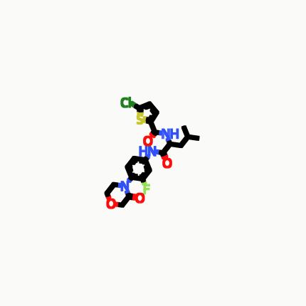 CC(C)CC(NC(=O)c1ccc(Cl)s1)C(=O)Nc1ccc(N2CCOCC2=O)c(F)c1